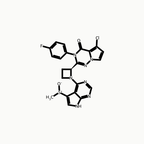 C[S+]([O-])c1c[nH]c2ncnc(N3CC[C@H]3c3nn4ccc(Cl)c4c(=O)n3-c3ccc(F)cc3)c12